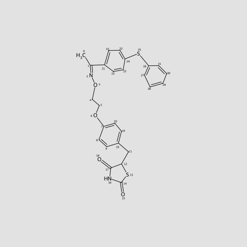 CC(=NOCCOc1ccc(CC2SC(=O)NC2=O)cc1)c1ccc(Sc2ccccc2)cc1